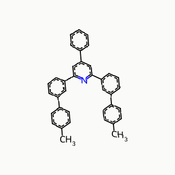 Cc1ccc(-c2cccc(-c3cc(-c4ccccc4)cc(-c4cccc(-c5ccc(C)cc5)c4)n3)c2)cc1